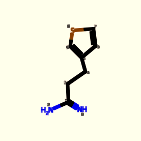 N=C(N)CCc1ccsc1